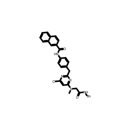 CC(C)NC(=O)CN(C)c1[c]c(Cl)nc(Cc2ccc(NC(=O)c3ccc4ccccc4c3)cc2)n1